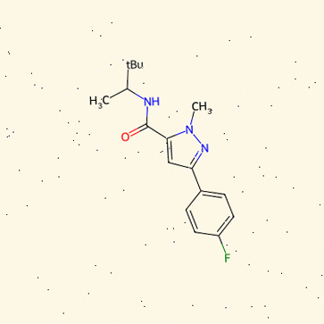 CC(NC(=O)c1cc(-c2ccc(F)cc2)nn1C)C(C)(C)C